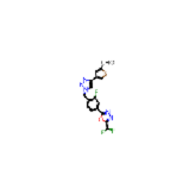 O=Cc1cc(-c2cn(Cc3ccc(-c4nnc(C(F)F)o4)cc3F)nn2)cs1